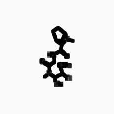 CCC(C)C(C(CC)OC)N(C)C(=O)CNC(=O)C1C2CCC(C2)N1C